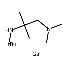 CN(C)CC(C)(C)NC(C)(C)C.[Ga]